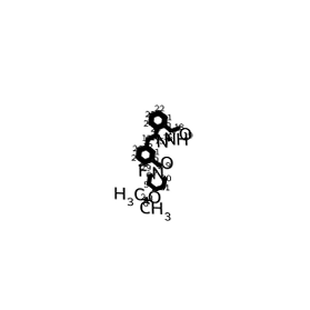 CC(C)OC1CCN(C(=O)c2cc(CC3=NNC(C=O)c4ccccc43)ccc2F)CC1